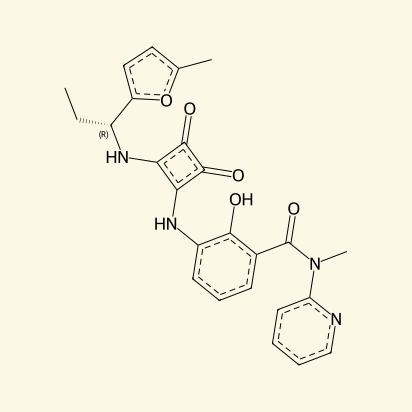 CC[C@@H](Nc1c(Nc2cccc(C(=O)N(C)c3ccccn3)c2O)c(=O)c1=O)c1ccc(C)o1